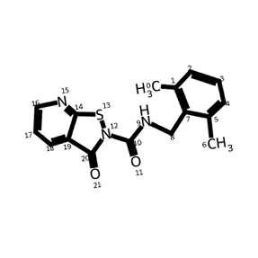 Cc1cccc(C)c1CNC(=O)n1sc2ncccc2c1=O